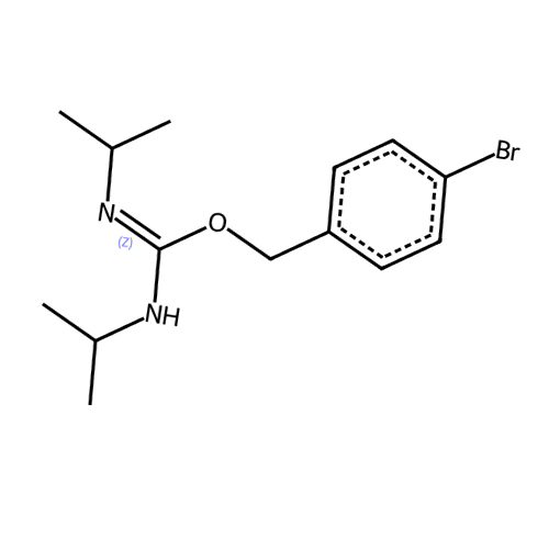 CC(C)/N=C(/NC(C)C)OCc1ccc(Br)cc1